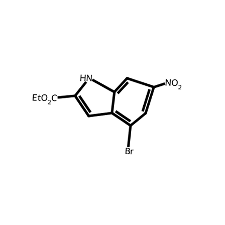 CCOC(=O)c1cc2c(Br)cc([N+](=O)[O-])cc2[nH]1